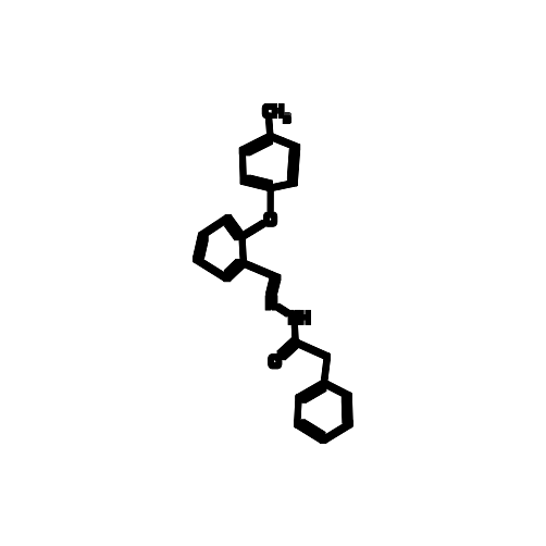 Cc1ccc(Oc2ccccc2/C=N/NC(=O)Cc2ccccc2)cc1